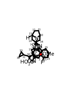 COc1cc(C(=O)O)cc2sc(N3C4CC[C@H]3CC(OCc3c(-c5c(F)cccc5Cl)noc3C3CC3)C4)nc12